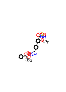 CC(C)Oc1cc(-c2ccc(CCNC(=O)OC([C@H](O)c3ccccc3)C(C)(C)C)cc2)ccc1C(=O)NS(C)(=O)=O